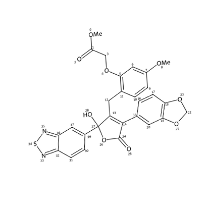 COC(=O)COc1cc(OC)ccc1CC1=C(c2ccc3c(c2)OCO3)C(=O)OC1(O)c1ccc2nsnc2c1